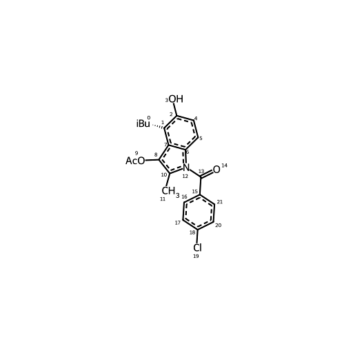 CC[C@@H](C)c1c(O)ccc2c1c(OC(C)=O)c(C)n2C(=O)c1ccc(Cl)cc1